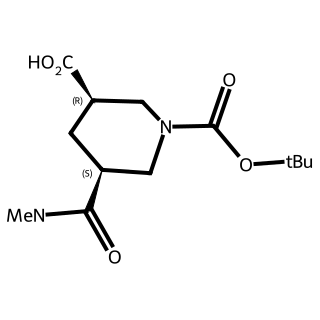 CNC(=O)[C@H]1C[C@@H](C(=O)O)CN(C(=O)OC(C)(C)C)C1